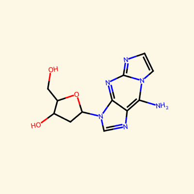 Nc1c2ncn(C3CC(O)C(CO)O3)c2nc2nccn12